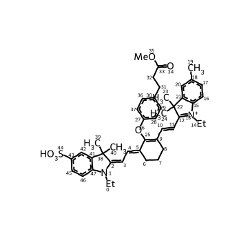 CCN1/C(=C/C=C2\CCCC(/C=C/C3=[N+](CC)c4ccc(C)cc4C3(C)C)=C2Oc2ccc(CCC(=O)OC)cc2)C(C)(C)c2cc(S(=O)(=O)O)ccc21